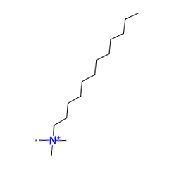 [CH2][N+](C)(C)CCCCCCCCCCCC